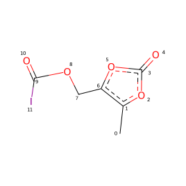 Cc1oc(=O)oc1COC(=O)I